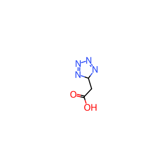 O=C(O)CC1N=NN=N1